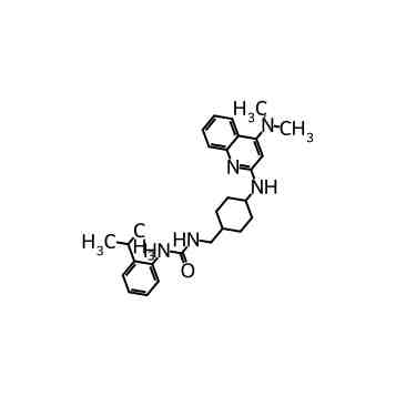 CC(C)c1ccccc1NC(=O)NCC1CCC(Nc2cc(N(C)C)c3ccccc3n2)CC1